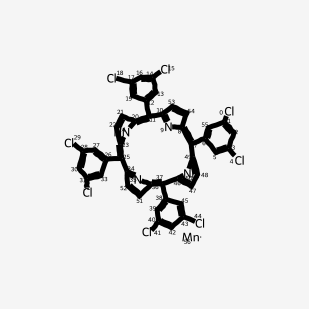 Clc1cc(Cl)cc(-c2c3nc(c(-c4cc(Cl)cc(Cl)c4)c4ccc([nH]4)c(-c4cc(Cl)cc(Cl)c4)c4nc(c(-c5cc(Cl)cc(Cl)c5)c5ccc2[nH]5)C=C4)C=C3)c1.[Mn]